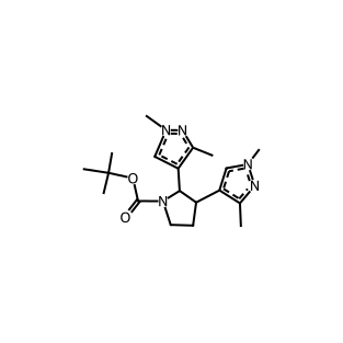 Cc1nn(C)cc1C1CCN(C(=O)OC(C)(C)C)C1c1cn(C)nc1C